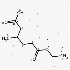 CCOC(=O)CCC(C)CC(=O)O